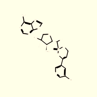 C[C@@]1(O)[C@H](O)[C@@H](C(O)P2(=O)OCC=C(c3cncc(Br)c3)O2)O[C@H]1n1cnc2c(N)ncnc21